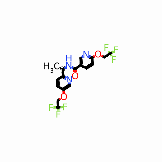 C[C@@H](NC(=O)c1ccc(OCC(F)(F)F)nc1)c1ccc(OCC(F)(F)F)cn1